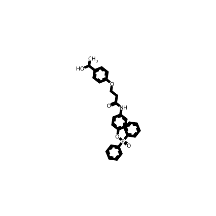 CC(O)c1ccc(OCCC(=O)Nc2ccc(OP(=O)(c3ccccc3)c3ccccc3)cc2)cc1